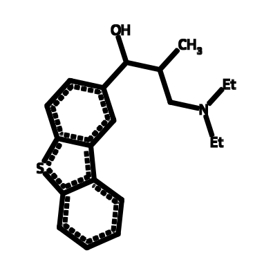 CCN(CC)CC(C)C(O)c1ccc2sc3ccccc3c2c1